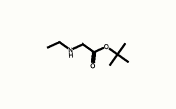 CCN[CH]C(=O)OC(C)(C)C